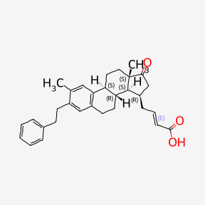 Cc1cc2c(cc1CCc1ccccc1)CC[C@H]1[C@@H]3[C@H](C/C=C/C(=O)O)CC(=O)[C@@]3(C)CC[C@H]21